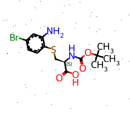 CC(C)(C)OC(=O)N[C@H](CSc1ccc(Br)cc1N)C(=O)O